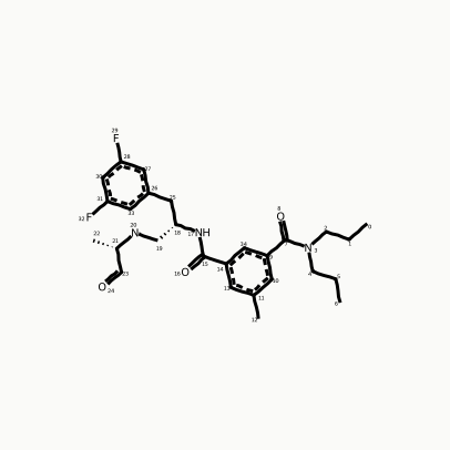 CCCN(CCC)C(=O)c1cc(C)cc(C(=O)N[C@H](C[N][C@@H](C)C=O)Cc2cc(F)cc(F)c2)c1